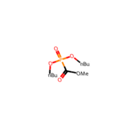 CCCCOP(=O)(OCCCC)C(=O)OC